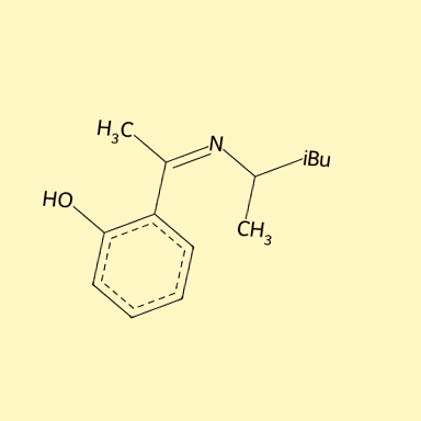 CCC(C)C(C)/N=C(/C)c1ccccc1O